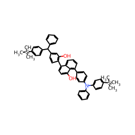 C[Si](C)(C)c1ccc(C(c2ccccc2)c2ccc(-c3ccc(O)c4c(-c5ccc(N(c6ccccc6)c6ccc([Si](C)(C)C)cc6)cc5)cccc34)c(O)c2)cc1